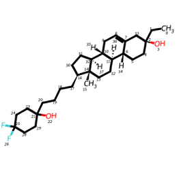 CC[C@]1(O)CC[C@H]2C(=CC[C@@H]3[C@@H]2CC[C@]2(C)[C@@H](CCCCC4(O)CCC(F)(F)CC4)CC[C@@H]32)C1